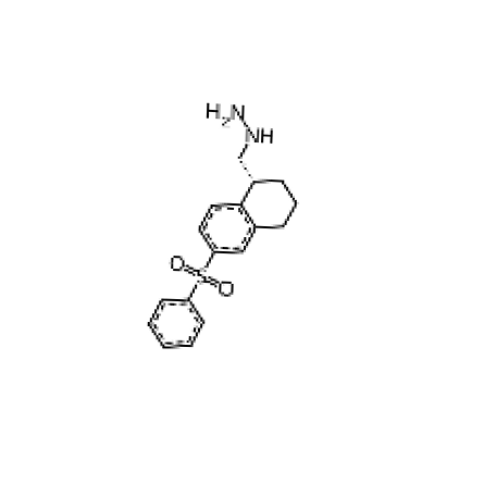 NNC[C@@H]1CCCc2cc(S(=O)(=O)c3ccccc3)ccc21